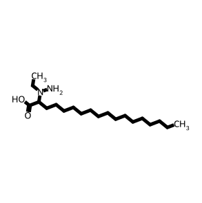 CCCCCCCCCCCCCCCCC(C(=O)O)N(N)CC